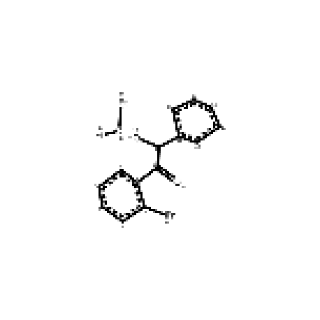 CC(C)c1ccccc1C(=O)C(O)c1ccccc1.CCOCC